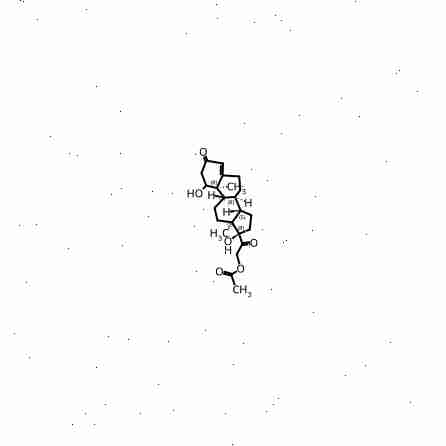 CC(=O)OCC(=O)[C@@]1(O)CC[C@H]2[C@@H]3CCC4=CC(=O)CC(O)[C@]4(C)[C@H]3CC[C@@]21C